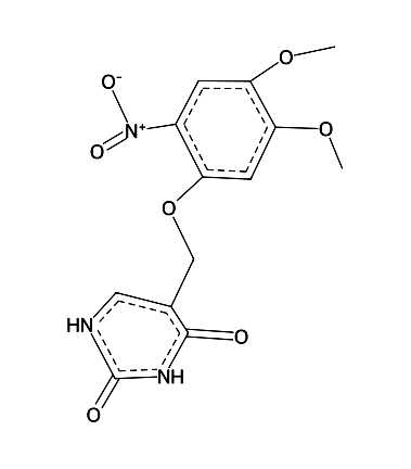 COc1cc(OCc2c[nH]c(=O)[nH]c2=O)c([N+](=O)[O-])cc1OC